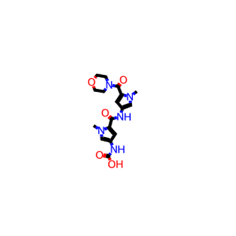 Cn1cc(NC(=O)O)cc1C(=O)Nc1cc(C(=O)N2CCOCC2)n(C)c1